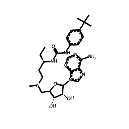 CC[C@H](CCN(C)CC1OC(n2cnc3c(N)ncnc32)[C@H](O)[C@@H]1O)NC(=O)Nc1ccc(C(C)(C)C)cc1